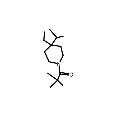 CCC1(C(C)C)CCN(C(=O)C(C)(C)C)CC1